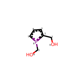 OCc1cccp1CO